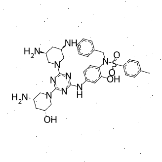 Cc1ccc(S(=O)(=O)N(Cc2ccccc2)c2ccc(Nc3nc(N4C[C@H](N)C[C@H](N)C4)nc(N4C[C@@H](N)C[C@@H](O)C4)n3)cc2O)cc1